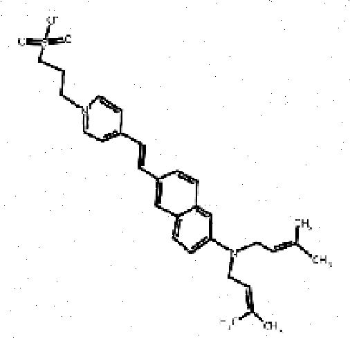 CC(C)=CCN(CC=C(C)C)c1ccc2cc(/C=C/c3cc[n+](CCCS(=O)(=O)[O-])cc3)ccc2c1